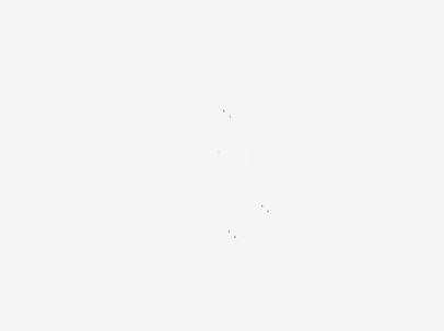 CC1CN(c2ccccc2/C=C2\SCCN(c3ccc(Cl)c(Cl)c3)C2=O)CC(C)N1C